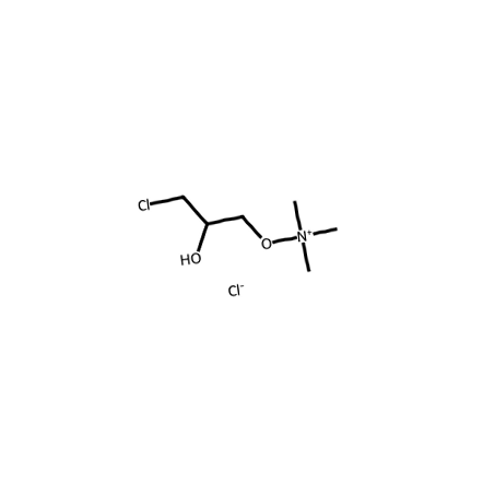 C[N+](C)(C)OCC(O)CCl.[Cl-]